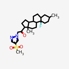 CC1CCC2(F)C(CCC3C4CCC(C(=O)Cn5cc(S(C)(=O)=O)cn5)C4(C)CCC32)C1